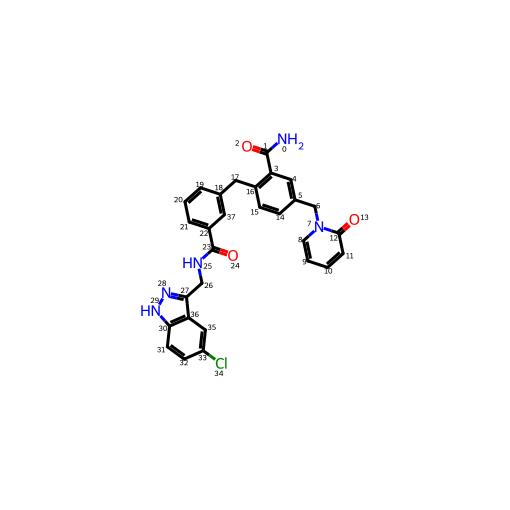 NC(=O)c1cc(Cn2ccccc2=O)ccc1Cc1cccc(C(=O)NCc2n[nH]c3ccc(Cl)cc23)c1